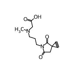 CN(CCCN1C(=O)CC2(C#C2)C1=O)CC(=O)O